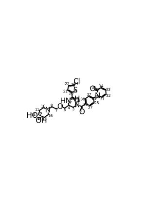 O=C(NCC(COCCN1CCS(O)(O)CC1)NC(=O)c1ccc(Cl)s1)c1ccc(-n2ccccc2=O)cc1